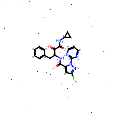 O=C(NC1CC1)C(=O)C(Cc1ccccc1)NC(=O)c1cc(Cl)nn1-c1ncccn1